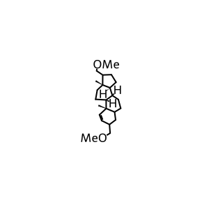 COCC1C=C[C@@]2(C)C(CC[C@@H]3[C@H]2CC[C@]2(C)C(COC)CC[C@@H]32)C1